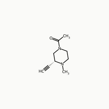 C#C[C@@H]1CN(C(C)=O)CCN1C